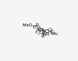 CCCCN1c2cc(NS(=O)(=O)CC(F)(F)F)c(N=Nc3nnc(C(=O)OCCOC)s3)cc2CCC1C